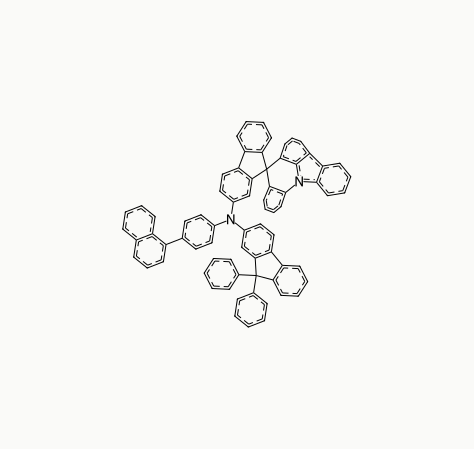 c1ccc(C2(c3ccccc3)c3ccccc3-c3ccc(N(c4ccc(-c5cccc6ccccc56)cc4)c4ccc5c(c4)C4(c6ccccc6-5)c5ccccc5-n5c6ccccc6c6cccc4c65)cc32)cc1